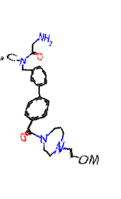 COCCN1CCN(C(=O)c2ccc(-c3cccc(CN(C)C(=O)CN)c3)cc2)CC1